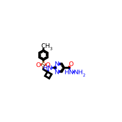 Cc1ccc(S(=O)(=O)CC2(Nc3ncc(C(=O)NN)cn3)CCC2)cc1